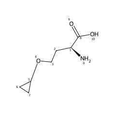 N[C@@H](CCOC1CC1)C(=O)O